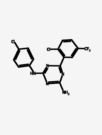 Nc1nc(Nc2ccc(Cl)cc2)nc(-c2cc(C(F)(F)F)ccc2Cl)n1